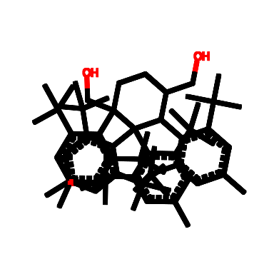 Cc1cc(C(C)(C)C)c(C2C(CO)CCC(CO)(c3c(C(C)(C)C)cc(C)cc3C(C)(C)C)C2(c2c(C(C)(C)C)cc(C)cc2C(C)(C)C)c2c(C(C)(C)C)cc(C)cc2C(C)(C)C)c(C(C)(C)C)c1